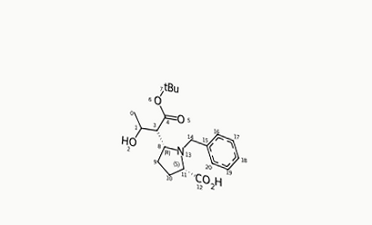 CC(O)C(C(=O)OC(C)(C)C)[C@H]1CC[C@@H](C(=O)O)N1Cc1ccccc1